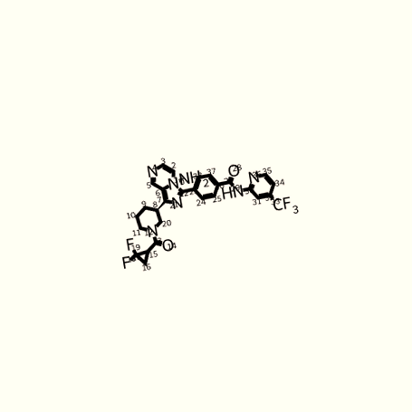 N[N+]12C=CN=CC1=C([C@@H]1CCCN(C(=O)C3CC3(F)F)C1)N=C2c1ccc(C(=O)Nc2cc(C(F)(F)F)ccn2)cc1